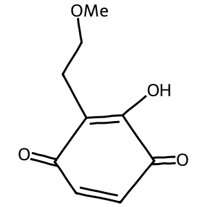 COCCC1=C(O)C(=O)C=CC1=O